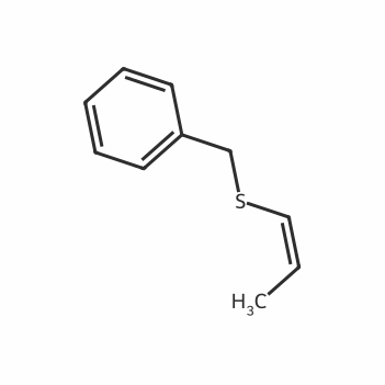 C/C=C\SCc1ccccc1